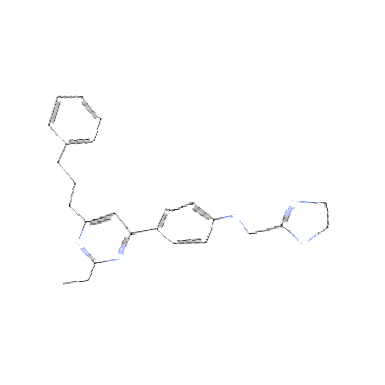 CC(C)Cc1nc(CCCc2ccccc2)cc(-c2ccc(NCC3=NCCN3)cc2)n1